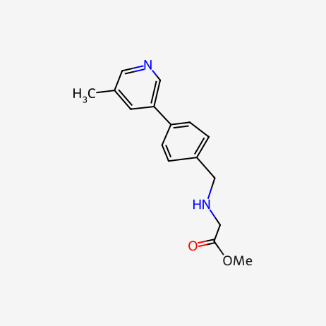 COC(=O)CNCc1ccc(-c2cncc(C)c2)cc1